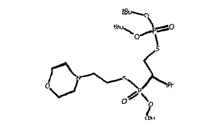 CC(C)C(CSP(=O)(OC(C)(C)C)OC(C)(C)C)P(=O)(OC(C)(C)C)SCCN1CCOCC1